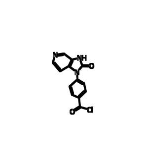 O=C(Cl)c1ccc(-n2c(=O)[nH]c3cnccc32)cc1